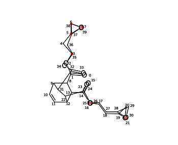 O=C(OCCC1CO1)C1C2C=CC(C1C(=O)OCCC1CO1)C(C(=O)OCCC1CO1)C2C(=O)OCCC1CO1